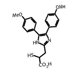 COc1ccc(-c2nc(CC(S)C(=O)O)[nH]c2-c2ccc(OC)cc2)cc1